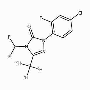 [2H]C([2H])([2H])c1nn(-c2ccc(Cl)cc2F)c(=O)n1C(F)F